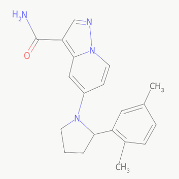 Cc1ccc(C)c(C2CCCN2c2ccn3ncc(C(N)=O)c3c2)c1